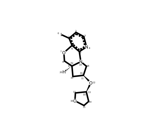 Ic1ccnc2c1OC[C@@H]1C[C@H](O[C@H]3CCOC3)CN21